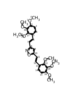 COc1ccc(C=Cc2cc(C=Cc3ccc(OC)c(OC)c3OC)on2)c(OC)c1OC